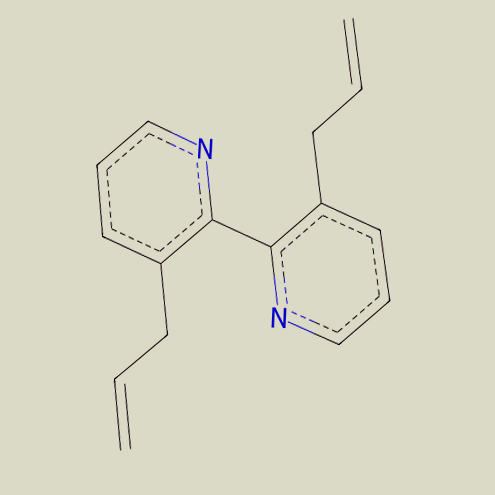 C=CCc1cccnc1-c1ncccc1CC=C